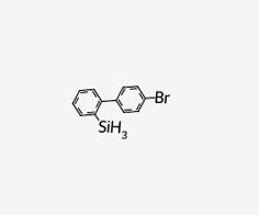 [SiH3]c1ccccc1-c1ccc(Br)cc1